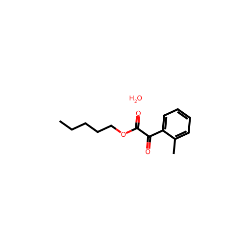 CCCCCOC(=O)C(=O)c1ccccc1C.O